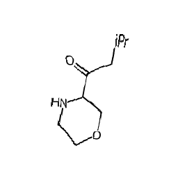 CC(C)CC(=O)C1COCCN1